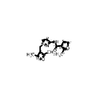 Cc1noc(C)c1Cn1ccc(NC(=O)c2ccoc2C)n1